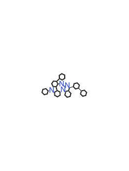 c1ccc(-c2cccc(-c3nc(-n4c5ccccc5c5ccc6c(c7ccccc7n6-c6ccccc6)c54)nc4ccccc34)c2)cc1